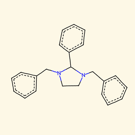 c1ccc(CN2CCN(Cc3ccccc3)C2c2ccccc2)cc1